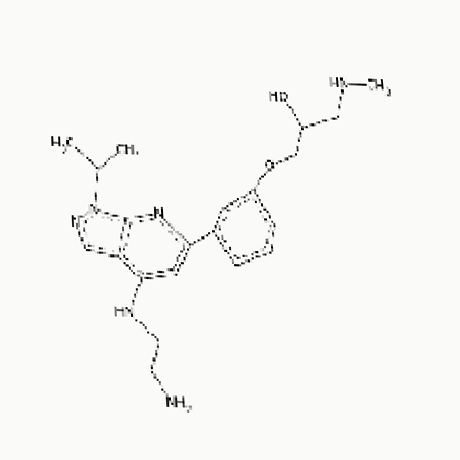 CNCC(O)COc1cccc(-c2cc(NCCN)c3cnn(C(C)C)c3n2)c1